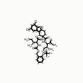 CC[C@H](C)C(NC(=O)[C@@]1(NC(=O)C(NC(=O)OCc2ccccc2OC(F)(F)F)[C@@H](C)CC)CCc2[nH]c3c(Cl)cc(Cl)cc3c2C1)C(N)=O